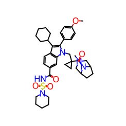 COc1ccc(-c2c(C3CCCCC3)c3ccc(C(=O)NS(=O)(=O)N4CCCCC4)cc3n2CC2(C(=O)N3C4CCC3CN(C)C4)CC2)cc1